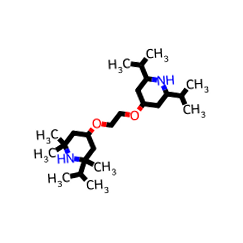 CC(C)C1CC(OCCOC2CC(C)(C)NC(C)(C(C)C)C2)CC(C(C)C)N1